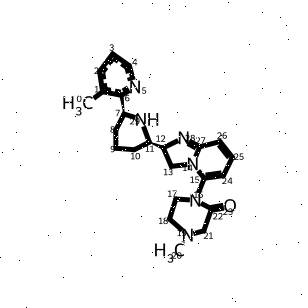 Cc1cccnc1[C@@H]1CCC[C@H](C2CN3C(N4CCN(C)CC4=O)=CC=CC3=N2)N1